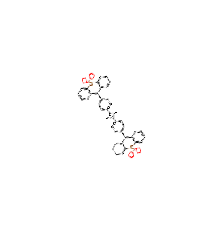 C[Si](C)(c1ccc(C2C3=CCCC=C3S(=O)(=O)c3ccccc32)cc1)c1ccc(C2c3ccccc3S(=O)(=O)c3ccccc32)cc1